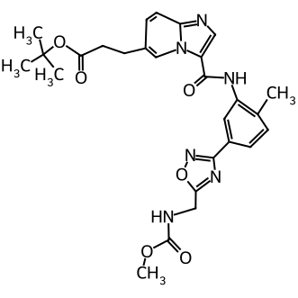 COC(=O)NCc1nc(-c2ccc(C)c(NC(=O)c3cnc4ccc(CCC(=O)OC(C)(C)C)cn34)c2)no1